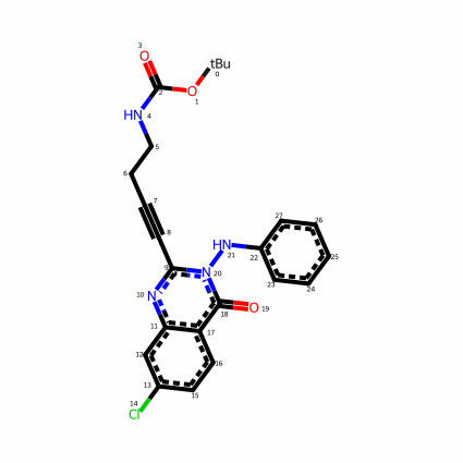 CC(C)(C)OC(=O)NCCC#Cc1nc2cc(Cl)ccc2c(=O)n1Nc1ccccc1